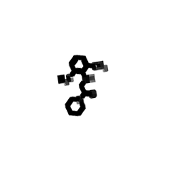 Cc1cccc(C)c1NCC(=O)N1CCCCC1